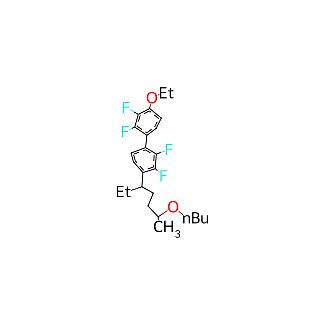 CCCCOC(C)CCC(CC)c1ccc(-c2ccc(OCC)c(F)c2F)c(F)c1F